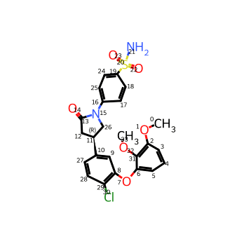 COc1cccc(Oc2cc([C@H]3CC(=O)N(c4ccc(S(N)(=O)=O)cc4)C3)ccc2Cl)c1OC